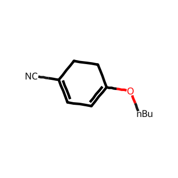 CCCCOC1=CC=C(C#N)CC1